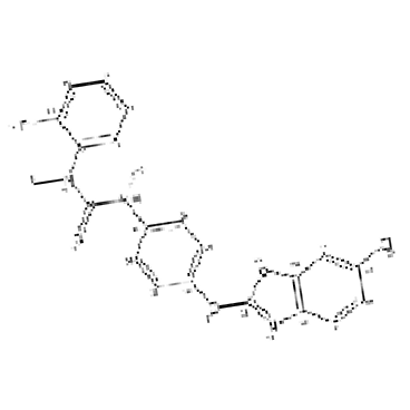 C[C@@H](C(=O)N(C)c1ccccc1F)c1ccc(Oc2nc3ccc(Cl)cc3o2)cc1